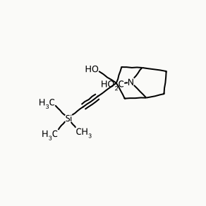 C[Si](C)(C)C#CC1(O)CC2CCC(C1)N2C(=O)O